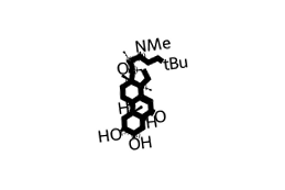 CN[C@H](CCC(C)(C)C)[C@]1(C)O[C@@]12CC[C@@]1(C)C3=CC(=O)[C@@H]4C[C@@H](O)[C@@H](O)C[C@]4(C)[C@H]3CC[C@]21C